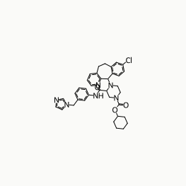 O=C(Nc1cccc(Cn2ccnc2)c1)C1CN(C(=O)OC2CCCCC2)CCN1C1c2ccc(Cl)cc2CCc2cccnc21